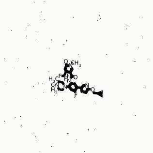 C[C@@H]1CN(c2cc(F)c(-c3ccc(OCC4CC4)nc3)cc2NC(=O)c2cn(C)c(=O)cc2C(F)F)CCN1C